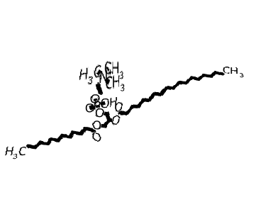 CCCCCCCCCCCCCCCCCCC(=O)OC(COC(=O)CCCCCCCCCCCC)COP(=O)(O)OCC[N+](C)(C)C